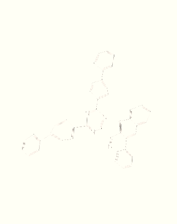 c1ccc(-c2ccc(-c3nc(-c4ccc(-c5ccccc5)cc4)nc(-c4nc5ccccc5c5cc6ccccc6cc45)n3)cc2)cc1